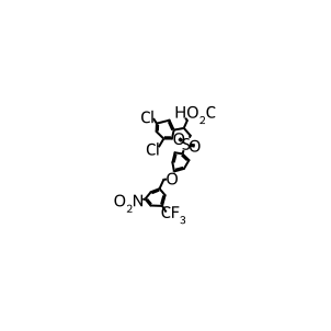 O=C(O)CC(CS(=O)(=O)c1ccc(OCc2cc([N+](=O)[O-])cc(C(F)(F)F)c2)cc1)c1cc(Cl)cc(Cl)c1